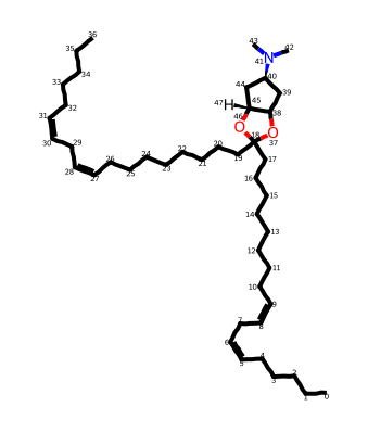 CCCCC/C=C\C/C=C\CCCCCCCCC1(CCCCCCCC/C=C\C/C=C\CCCCC)OC2C[C@H](N(C)C)C[C@H]2O1